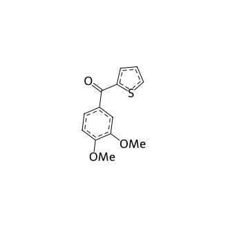 COc1ccc(C(=O)c2cccs2)cc1OC